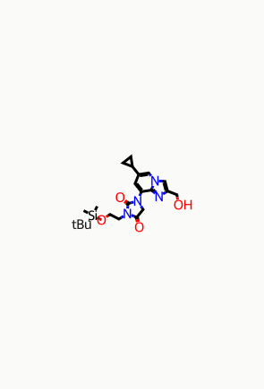 CC(C)(C)[Si](C)(C)OCCN1C(=O)CN(c2cc(C3CC3)cn3cc(CO)nc23)C1=O